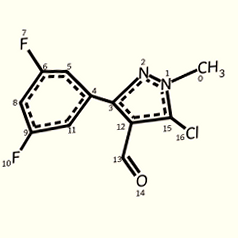 Cn1nc(-c2cc(F)cc(F)c2)c(C=O)c1Cl